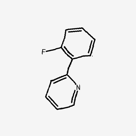 Fc1ccc[c]c1-c1ccccn1